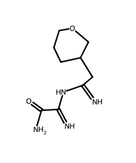 N=C(CC1CCCOC1)NC(=N)C(N)=O